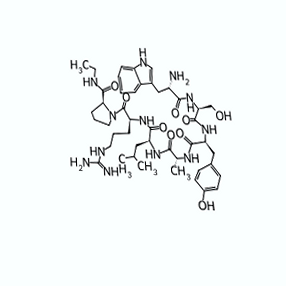 CCNC(=O)[C@@H]1CCCN1C(=O)[C@H](CCCNC(=N)N)NC(=O)[C@H](CC(C)C)NC(=O)[C@@H](C)NC(=O)[C@H](Cc1ccc(O)cc1)NC(=O)[C@H](CO)NC(=O)[C@@H](N)Cc1c[nH]c2ccccc12